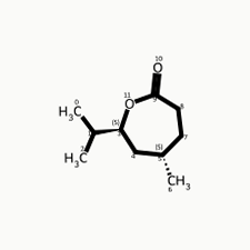 CC(C)[C@@H]1C[C@@H](C)CCC(=O)O1